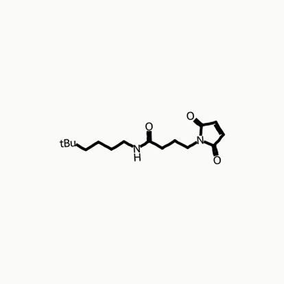 CC(C)(C)CCCCNC(=O)CCCN1C(=O)C=CC1=O